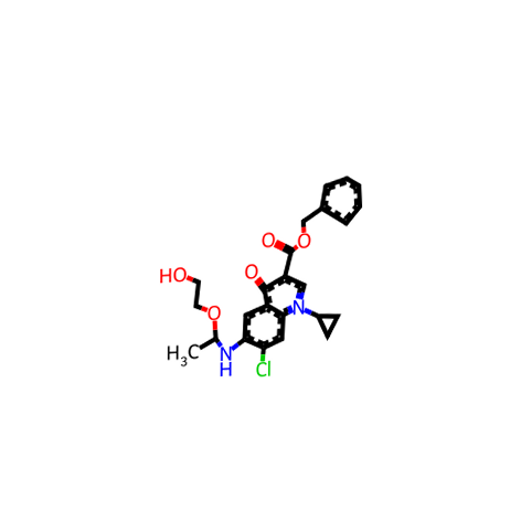 CC(Nc1cc2c(=O)c(C(=O)OCc3ccccc3)cn(C3CC3)c2cc1Cl)OCCO